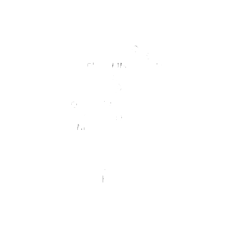 CNC(=O)c1c(-c2ccc(F)cc2)oc2cc(NCS(C)(=O)=O)c(Br)cc12